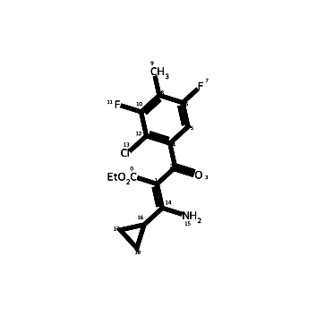 CCOC(=O)C(C(=O)c1cc(F)c(C)c(F)c1Cl)=C(N)C1CC1